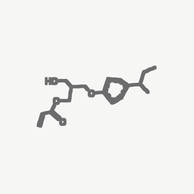 C=CC(=O)OCC(CO)COc1ccc(C(C)CC)cc1